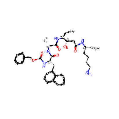 CC[C@H](C)[C@H](NC(=O)[C@H](Cc1cccc2ccccc12)NC(=O)OCc1ccccc1)C(=O)N[C@@H](CC(C)C)[C@@H](O)CC(=O)N[C@@H](CCCCN)C(=O)O